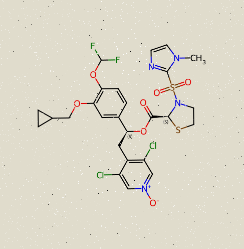 Cn1ccnc1S(=O)(=O)N1CCS[C@H]1C(=O)O[C@@H](Cc1c(Cl)c[n+]([O-])cc1Cl)c1ccc(OC(F)F)c(OCC2CC2)c1